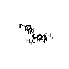 CC(C)c1ccc2nn(CCC(C)c3ccc4c(nnn4C)n3)nc2n1